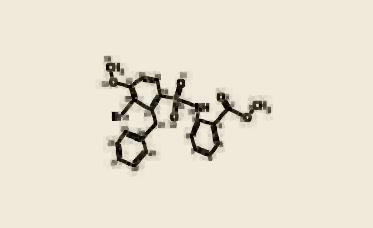 COC(=O)c1ccccc1NS(=O)(=O)c1ccc(OC)c(Br)c1Cc1ccccc1